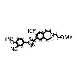 COCCN1CCc2ccc(-c3nnc(-c4ccc(OC(C)C)c(C#N)c4)s3)cc2CC1.Cl